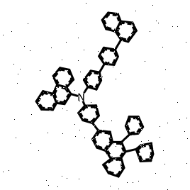 c1ccc(-c2c(-c3ccccc3)c3cc(-c4ccc(N(c5ccc(-c6ccc(-c7cccc8ccccc78)cc6)cc5)c5cc6ccccc6c6ccccc56)cc4)ccc3c3ccccc23)cc1